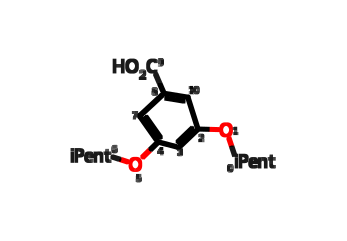 CCCC(C)Oc1cc(OC(C)CCC)cc(C(=O)O)c1